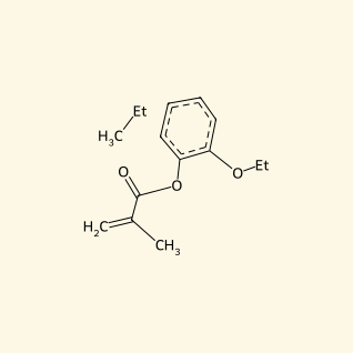 C=C(C)C(=O)Oc1ccccc1OCC.CCC